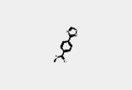 COC(=O)c1ccc(-c2ncsn2)cc1